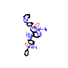 O=C(Nc1ccc(Nc2ccnc3c2CN(c2ccc(CN4CCCC4)cc2)C(=O)N3)cc1)c1ccccc1